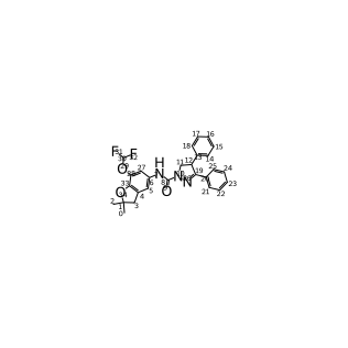 CC1(C)Cc2cc(NC(=O)N3CC(c4ccccc4)C(c4ccccc4)=N3)cc(OC(F)F)c2O1